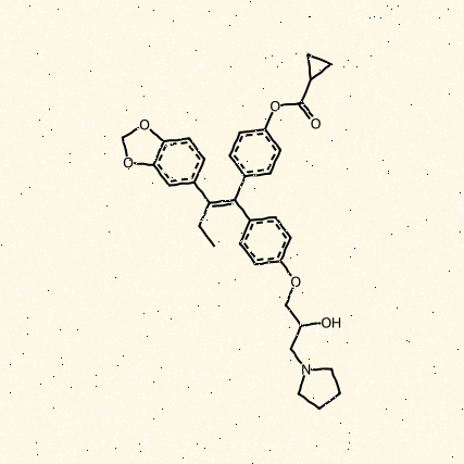 CCC(=C(c1ccc(OCC(O)CN2CCCC2)cc1)c1ccc(OC(=O)C2CC2)cc1)c1ccc2c(c1)OCO2